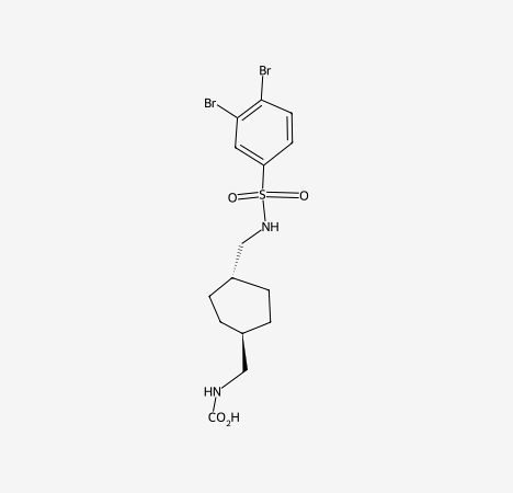 O=C(O)NC[C@H]1CC[C@H](CNS(=O)(=O)c2ccc(Br)c(Br)c2)CC1